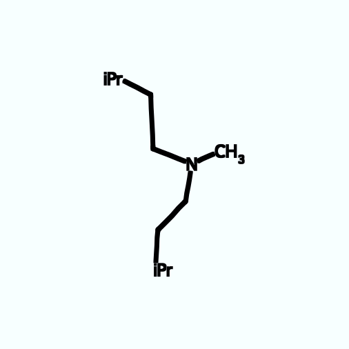 CC(C)CCN(C)CCC(C)C